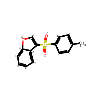 Cc1ccc(S(=O)(=O)c2coc3ccccc23)cc1